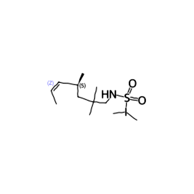 C/C=C\[C@@H](C)CC(C)(C)CNS(=O)(=O)I(C)C